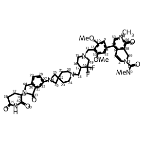 CNC(=O)N1C=Cc2c(-c3cc(OC)c(CN4CCC(CN5CCC6(CC5)CN(c5ccc7c(c5)C(=O)N(C5CCC(=O)NC5=O)C7)C6)C(F)(F)C4)c(OC)c3)cn(C)c(=O)c2C1